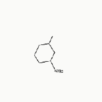 CNC1CCCC(C)C1